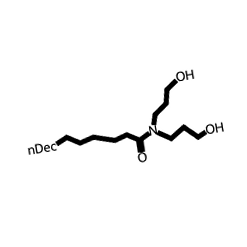 CCCCCCCCCCCCCCCC(=O)N(CCCO)CCCO